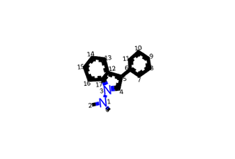 CN(C)n1cc(-c2ccccc2)c2ccccc21